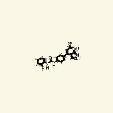 O=C(Nc1ccc(-c2cc(=O)[nH]c3n[nH]cc23)cc1)Nc1ccccc1F